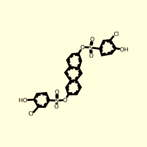 O=S(=O)(Oc1ccc2cc3cc(OS(=O)(=O)c4ccc(O)c(Cl)c4)ccc3cc2c1)c1ccc(O)c(Cl)c1